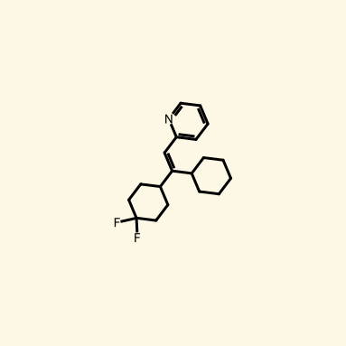 FC1(F)CCC(C(=Cc2ccccn2)C2CCCCC2)CC1